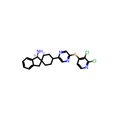 N[C@@H]1c2ccccc2CC12CCC(c1cnc(Sc3ccnc(Cl)c3Cl)cn1)CC2